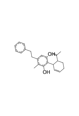 C=C(C)C1CCC=CC1c1c(O)cc(CCc2ccccc2)c(C)c1O